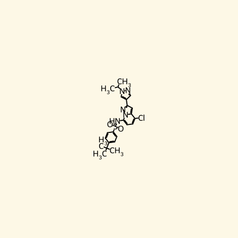 CC(C)n1cc(-c2cc3c(Cl)ccc(NS(=O)(=O)c4ccc(C(C)(C)C)cc4)n3n2)cn1